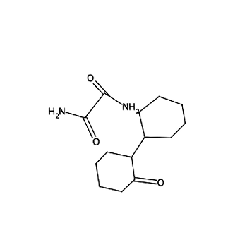 NC(=O)C(N)=O.O=C1CCCCC1C1CCCCC1